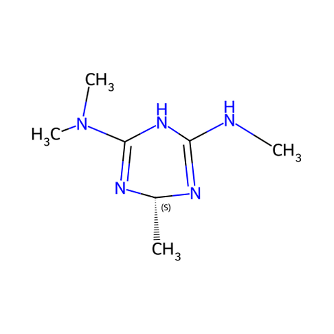 CNC1=N[C@H](C)N=C(N(C)C)N1